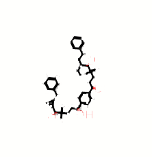 CCC(CCc1ccccc1)C(=O)C(C)(C)CCC(O)c1ccc(C(O)CCC(C)(C)C(=O)C2C[C@H]2Cc2ccccc2)cc1